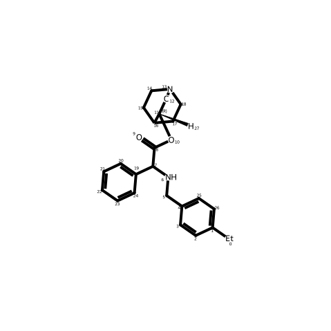 CCc1ccc(CNC(C(=O)O[C@H]2CN3CCC2CC3)c2ccccc2)cc1